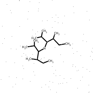 CCC(C)C([N]C(C(C)C)C(C)CC)C(C)C